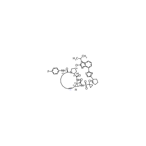 CC(C)n1c(O[C@@H]2C[C@H]3C(=O)N[C@]4(C(=O)NS(=O)(=O)C5(C)CC5)C[C@H]4/C=C\CCCCC[C@H](Nc4ccc(F)cc4)C(=O)N3C2)nc2c(-c3nc(C4CCCC4)cs3)cccc21